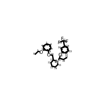 CCOc1ccccc1OCC1CCCCN1C(CC)Oc1cccc(C(F)(F)F)c1